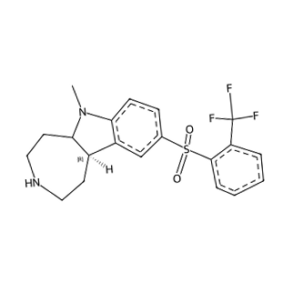 CN1c2ccc(S(=O)(=O)c3ccccc3C(F)(F)F)cc2[C@H]2CCNCCC21